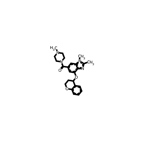 Cc1nc2c(OC3CCOc4ccccc43)cc(C(=O)N3CCN(C)CC3)cc2n1C